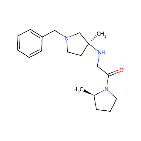 C[C@@H]1CCCN1C(=O)CN[C@@]1(C)CCN(Cc2ccccc2)C1